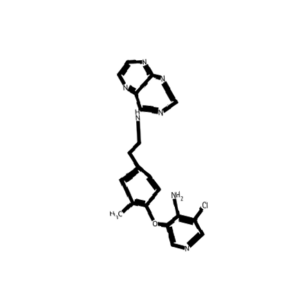 Cc1cc(CCNc2ncnc3nccnc23)ccc1Oc1cncc(Cl)c1N